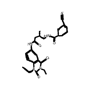 CCn1c(=O)c2cc(NC(=O)CC(C)CNC(=O)C3C=CC=C(C#N)C3)ccc2n(CC)c1=O